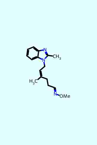 CON=CCCC(C)=CCn1c(C)nc2ccccc21